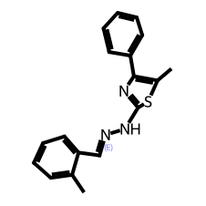 Cc1ccccc1/C=N/Nc1nc(-c2ccccc2)c(C)s1